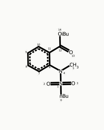 CCCCS(=O)(=O)N(C)c1ccccc1C(=O)OCC(C)C